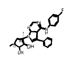 C[C@H]1C[C@@](C)(N2C=C(c3ccccc3)C3C(Nc4ccc(F)cc4)=NC=NC32)C(O)C1O